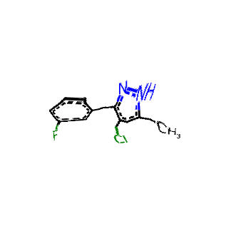 Cc1[nH]nc(-c2cccc(F)c2)c1Cl